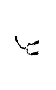 C#CC[Si](CC#C)CC#C